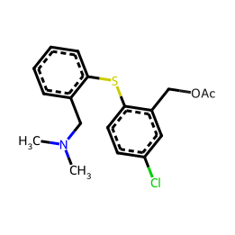 CC(=O)OCc1cc(Cl)ccc1Sc1ccccc1CN(C)C